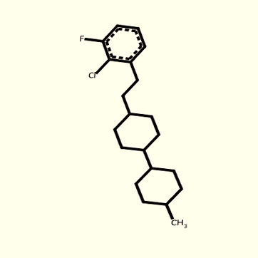 CC1CCC(C2CCC(CCc3cccc(F)c3Cl)CC2)CC1